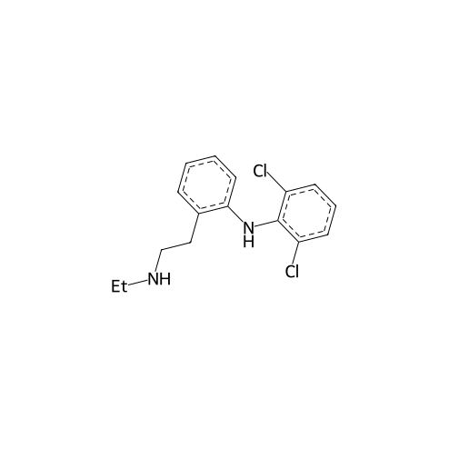 CCNCCc1ccccc1Nc1c(Cl)cccc1Cl